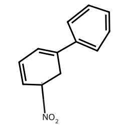 O=[N+]([O-])[C]1C=CC=C(c2ccccc2)C1